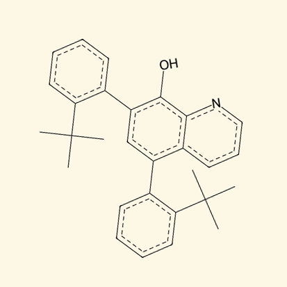 CC(C)(C)c1ccccc1-c1cc(-c2ccccc2C(C)(C)C)c2cccnc2c1O